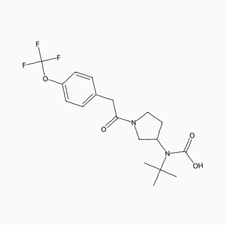 CC(C)(C)N(C(=O)O)C1CCN(C(=O)Cc2ccc(OC(F)(F)F)cc2)C1